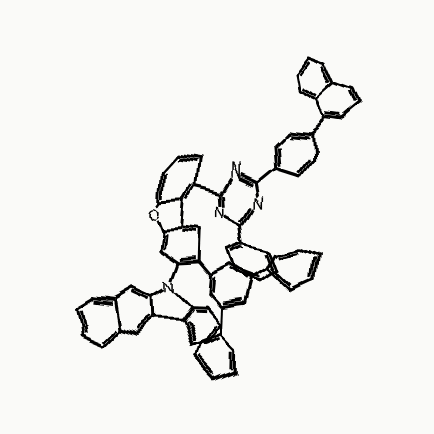 c1ccc(-c2cc(-c3ccccc3)cc(-c3cc4c(cc3-n3c5ccccc5c5cc6ccccc6cc53)oc3cccc(-c5nc(-c6ccccc6)nc(-c6ccc(-c7cccc8ccccc78)cc6)n5)c34)c2)cc1